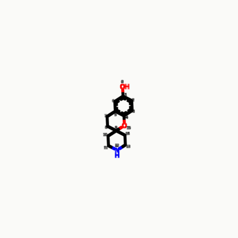 Oc1ccc2c(c1)CCC1(CCNCC1)O2